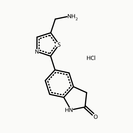 Cl.NCc1cnc(-c2ccc3c(c2)CC(=O)N3)s1